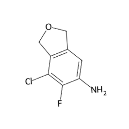 Nc1cc2c(c(Cl)c1F)COC2